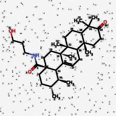 C[C@@H]1CC[C@]2(C(=O)NCCCO)CC[C@]3(C)C(=CCC4[C@@]5(C)CCC(=O)C(C)(C)C5CC[C@]43C)C2[C@H]1C